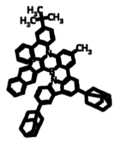 Cc1cc2c3c(c1)N(c1ccc(C(C)(C)C)cc1-c1ccccc1)c1sc4cc5ccccc5cc4c1B3n1c3ccc(C45CC6CC(CC(C6)C4)C5)cc3c3cc(C45CC6CC(CC(C6)C4)C5)cc-2c31